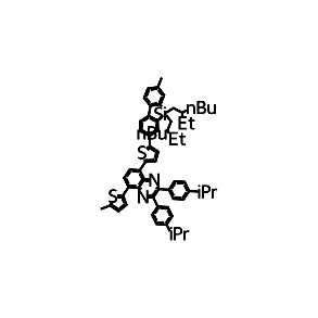 CCCCC(CC)C[Si]1(CC(CC)CCCC)c2cc(C)ccc2-c2ccc(-c3ccc(-c4ccc(-c5ccc(C)s5)c5nc(-c6ccc(C(C)C)cc6)c(-c6ccc(C(C)C)cc6)nc45)s3)cc21